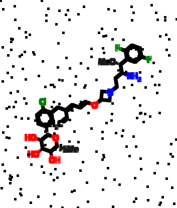 C=C/C(=C\C=C\OC1CN(CC[C@H](N)[C@H](OC)c2cc(F)ccc2F)C1)Cc1cc([C@@H]2O[C@H](SC)[C@@H](O)[C@H](O)[C@H]2O)ccc1Cl